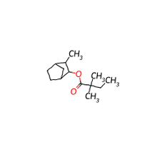 CCC(C)(C)C(=O)OC1C2CCC(C2)C1C